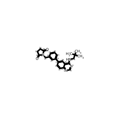 CC(C)(C)CNc1ncnc2ccc(-c3cccc(CN4C(=O)CCC4=O)c3)cc12